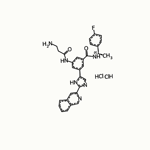 C[C@@H](NC(=O)c1cc(NC(=O)CCN)cc(-c2cnc(-c3cc4ccccc4cn3)[nH]2)c1)c1ccc(F)cc1.Cl.Cl